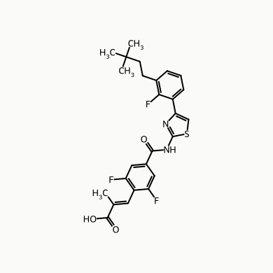 C/C(=C\c1c(F)cc(C(=O)Nc2nc(-c3cccc(CCC(C)(C)C)c3F)cs2)cc1F)C(=O)O